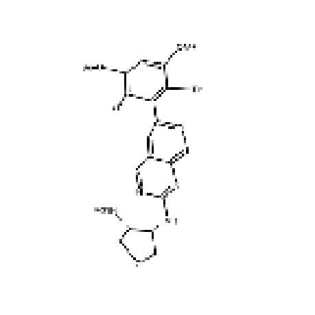 COc1cc(OC)c(C(C)C)c(-c2cc3cnc(N[C@@H]4COC[C@@H]4NC(C)=O)nc3cn2)c1Cl